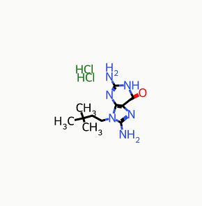 CC(C)(C)CCn1c(N)nc2c(=O)[nH]c(N)nc21.Cl.Cl